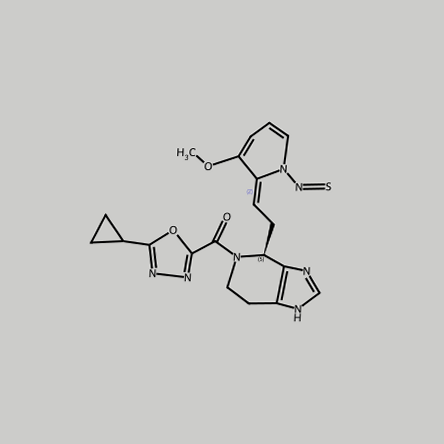 COC1=CC=CN(N=S)/C1=C\C[C@H]1c2nc[nH]c2CCN1C(=O)c1nnc(C2CC2)o1